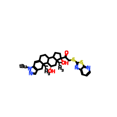 CC12Cc3cnn(C(C)(C)C)c3C=C1CCC1C2[C@@H](O)CC2(C)C1CC[C@]2(O)C(=O)CSc1nc2cccnc2s1